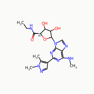 CCNC(=O)[C@@H]1OC(n2cnc3c(NC)nc(-c4cnn(C)c4C)nc32)C(O)C1O